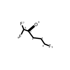 O=C(CCCF)C(F)F